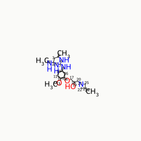 CNC1CC(C)NC(Nc2ccc(OC)c(OC[C@H](O)CN3CC(C)C3)c2)N1